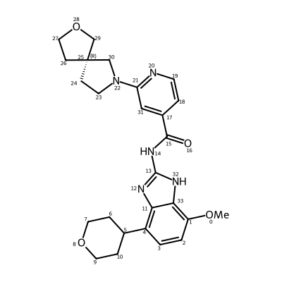 COc1ccc(C2CCOCC2)c2nc(NC(=O)c3ccnc(N4CC[C@@]5(CCOC5)C4)c3)[nH]c12